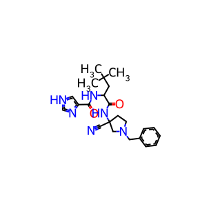 CC(C)(C)CC(NC(=O)c1c[nH]cn1)C(=O)NC1(C#N)CCN(Cc2ccccc2)C1